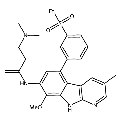 C=C(CCN(C)C)Nc1cc(-c2cccc(S(=O)(=O)CC)c2)c2c([nH]c3ncc(C)cc32)c1OC